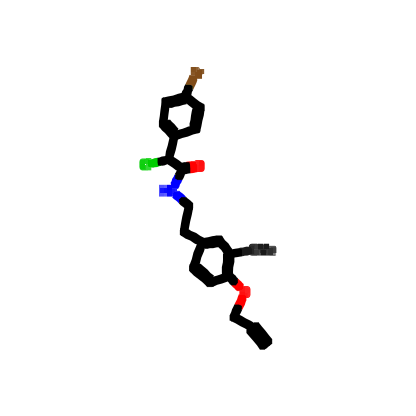 C#CCOc1ccc(CCNC(=O)C(Cl)c2ccc(Br)cc2)cc1OC